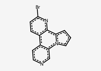 Brc1ccc2c3ccncc3n3cccc3c2n1